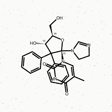 Cc1cn([C@]2(N3C=NCC3)O[C@H](CO)[C@@H](O)C2(c2ccccc2)c2ccccc2)c(=O)[nH]c1=O